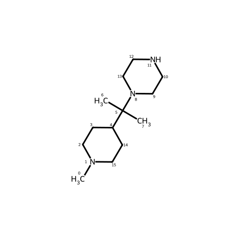 CN1CCC(C(C)(C)N2CCNCC2)CC1